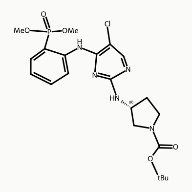 COP(=O)(OC)c1ccccc1Nc1nc(N[C@@H]2CCN(C(=O)OC(C)(C)C)C2)ncc1Cl